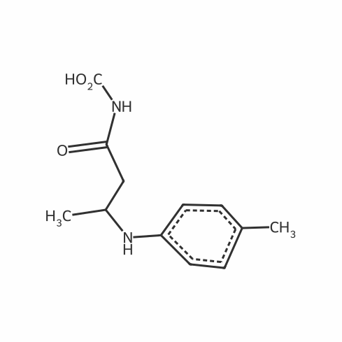 Cc1ccc(NC(C)CC(=O)NC(=O)O)cc1